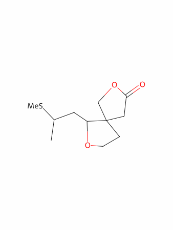 CSC(C)CC1OCCC12COC(=O)C2